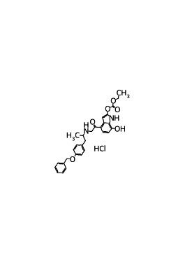 CCOC(=O)Oc1cc2c(C(=O)CNC(C)Cc3ccc(OCc4ccccc4)cc3)ccc(O)c2[nH]1.Cl